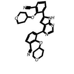 N#Cc1cccc(-c2cc3c(-c4cccc(C#N)c4OC4CCOCC4)ncnc3[nH]2)c1OC1CCOCC1